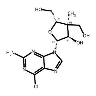 C[C@@]1(CO)[C@@H](CO)O[C@@H](n2cnc3c(Cl)nc(N)nc32)[C@@H]1O